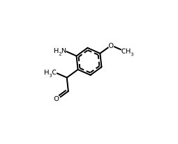 COc1ccc(C(C)C=O)c(N)c1